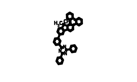 CC1(C)c2ccc(-c3cccc(-c4nc(-c5ccccc5)nc(-c5ccccc5)n4)c3)cc2-c2ccc3c4ccccc4c4ccccc4c3c21